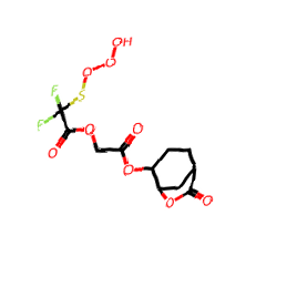 O=C(COC(=O)C(F)(F)SOOO)OC1CCC2CC1OC2=O